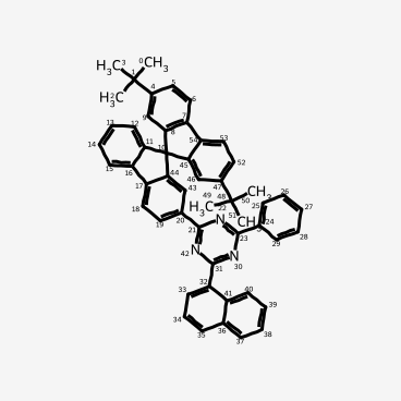 CC(C)(C)c1ccc2c(c1)C1(c3ccccc3-c3ccc(-c4nc(-c5ccccc5)nc(-c5cccc6ccccc56)n4)cc31)c1cc(C(C)(C)C)ccc1-2